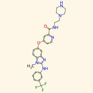 Cn1c(Nc2cccc(C(F)(F)F)c2)nc2cc(Oc3ccnc(C(=O)NCCN4CCNCC4)c3)ccc21